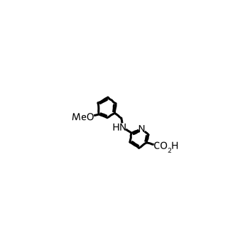 COc1cccc(CNc2ccc(C(=O)O)cn2)c1